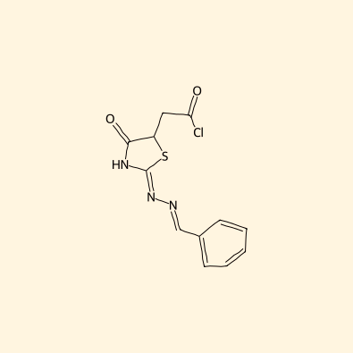 O=C(Cl)CC1S/C(=N\N=C\c2ccccc2)NC1=O